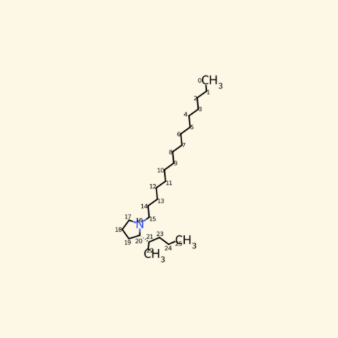 CCCCCCCCCCCCCCCCN1CCC[C@H]1C(C)CCC